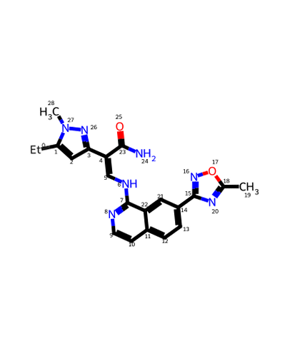 CCc1cc(C(=CNc2nccc3ccc(-c4noc(C)n4)cc23)C(N)=O)nn1C